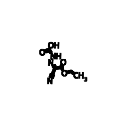 CCOC(=O)/C(C#N)=N\NC(=O)O